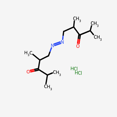 CC(C)C(=O)C(C)CN=NCC(C)C(=O)C(C)C.Cl.Cl